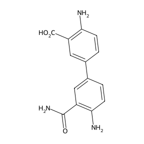 NC(=O)c1cc(-c2ccc(N)c(C(=O)O)c2)ccc1N